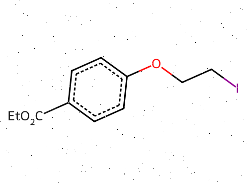 CCOC(=O)c1ccc(OCCI)cc1